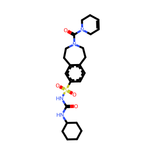 O=C(NC1CCCCC1)NS(=O)(=O)c1ccc2c(c1)CCN(C(=O)N1CC=CCC1)CC2